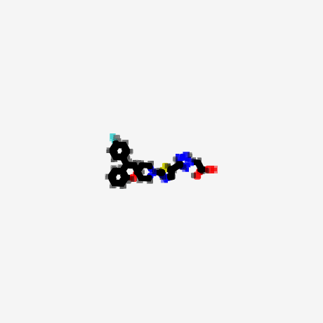 O=C(O)Cn1nnc(-c2cnc(N3CCC4(C=C(c5ccc(F)cc5)c5ccccc5O4)CC3)s2)n1